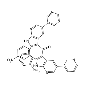 O=C(c1c(-c2cccc([N+](=O)[O-])c2)[nH]c2ncc(-c3cccnc3)cc12)c1c(-c2cccc([N+](=O)[O-])c2)[nH]c2ncc(-c3cccnc3)cc12